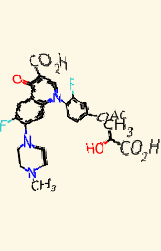 CC(=O)Oc1ccc(-n2cc(C(=O)O)c(=O)c3cc(F)c(N4CCN(C)CC4)cc32)c(F)c1.CC(O)C(=O)O